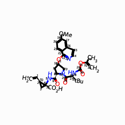 C=C[C@@H]1C[C@]1(NC(=O)[C@@H]1C[C@@H](Oc2nccc3cc(OC)ccc23)CN1C(=O)[C@@H](NC(=O)OC(=C)C)C(C)(C)C)C(=O)O